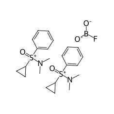 CN(C)[S+](=O)(c1ccccc1)C1CC1.CN(C)[S+](=O)(c1ccccc1)C1CC1.[O-]B([O-])F